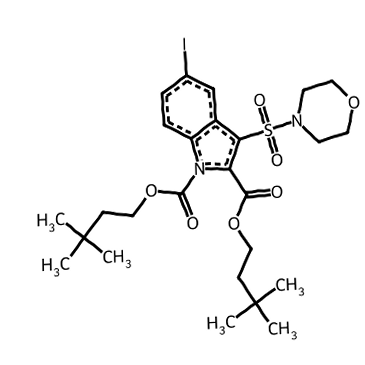 CC(C)(C)CCOC(=O)c1c(S(=O)(=O)N2CCOCC2)c2cc(I)ccc2n1C(=O)OCCC(C)(C)C